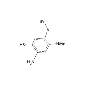 CNc1cc(N)c(S)cc1SC(C)C